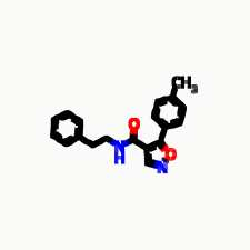 Cc1ccc(-c2oncc2C(=O)NCCc2ccccc2)cc1